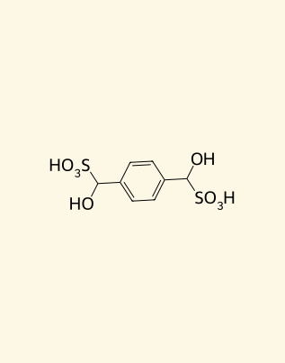 O=S(=O)(O)C(O)c1ccc(C(O)S(=O)(=O)O)cc1